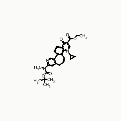 CCOC(=O)c1cn(C2CC2)c2c3c(ccc2c1=O)-c1cnc(N(C)C(=O)OC(C)(C)C)cc1CC=C3